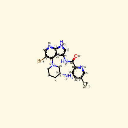 N[C@@H]1CCCN(c2c(Br)cnc3[nH]cc(NC(=O)c4ccc(C(F)(F)F)cn4)c23)C1